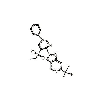 CCS(=O)(=O)c1cc(-c2ccccc2)cnc1-n1cc2cnc(C(F)(F)F)cc2n1